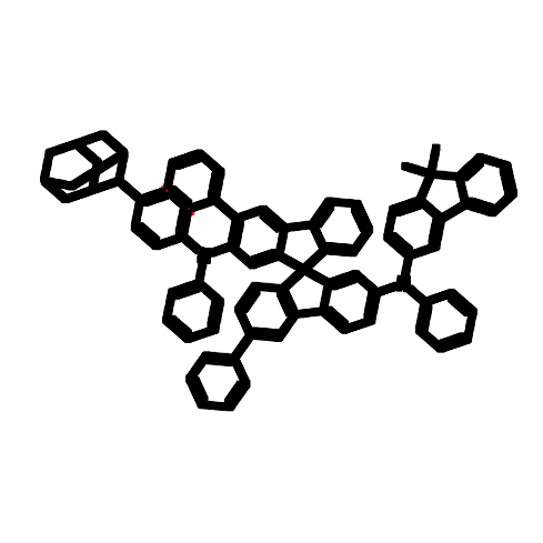 CC1(C)c2ccccc2-c2cc(N(c3ccccc3)c3ccc4c(c3)C3(c5ccccc5-c5cc(-c6ccccc6)c(N(c6ccccc6)c6ccc(C7C8CC9CC(C8)CC7C9)cc6)cc53)c3ccc(-c5ccccc5)cc3-4)ccc21